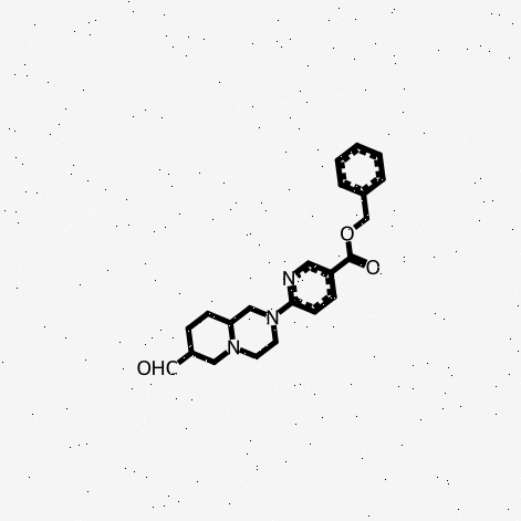 O=CC1CCC2CN(c3ccc(C(=O)OCc4ccccc4)cn3)CCN2C1